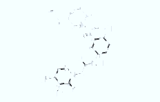 Cc1ccc(NC(=O)Cn2ncc(Cl)c(Cl)c2=O)cc1S(=O)(=O)N1CCO[C@@H](CO)C1